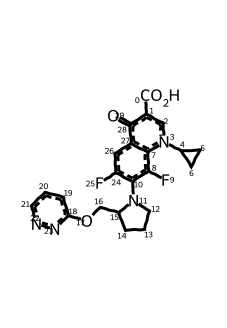 O=C(O)c1cn(C2CC2)c2c(F)c(N3CCCC3COc3cccnn3)c(F)cc2c1=O